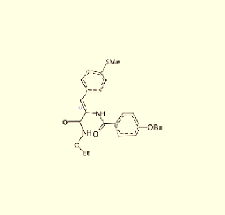 CCONC(=O)/C(=C/c1ccc(SC)cc1)NC(=O)c1ccc(OCC(C)C)cc1